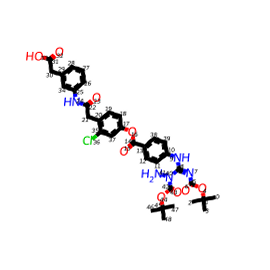 CC(C)(C)OC(=O)/N=C(/Nc1ccc(C(=O)Oc2ccc(CC(=O)Nc3cccc(CC(=O)O)c3)c(Cl)c2)cc1)N(N)C(=O)OC(C)(C)C